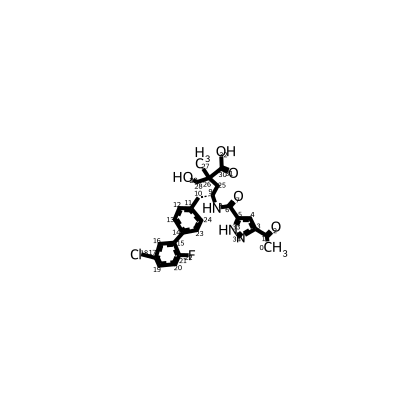 CC(=O)c1cc(C(=O)N[C@H](Cc2ccc(-c3cc(Cl)ccc3F)cc2)CC(C)(CO)C(=O)O)[nH]n1